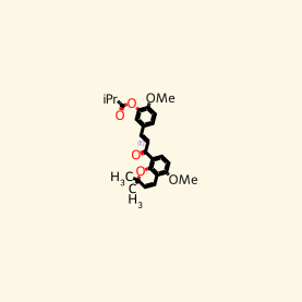 COc1ccc(/C=C/C(=O)c2ccc(OC)c3c2OC(C)(C)C=C3)cc1OC(=O)C(C)C